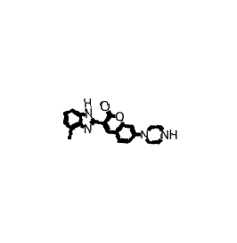 Cc1cccc2[nH]c(-c3cc4ccc(N5CCNCC5)cc4oc3=O)nc12